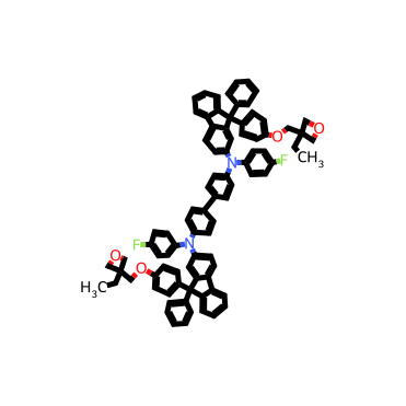 CCC1(COc2ccc(C3(c4ccccc4)c4ccccc4-c4ccc(N(c5ccc(F)cc5)c5ccc(-c6ccc(N(c7ccc(F)cc7)c7ccc8c(c7)C(c7ccccc7)(c7ccc(OCC9(CC)COC9)cc7)c7ccccc7-8)cc6)cc5)cc43)cc2)COC1